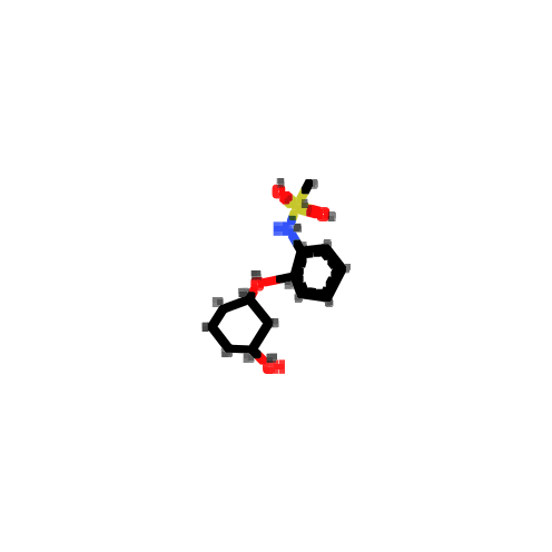 CS(=O)(=O)Nc1ccccc1OC1CCCC(O)C1